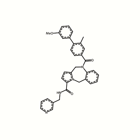 COc1cccc(-c2ccc(C(=O)N3Cc4ccc(C(=O)NCc5cccnc5)n4Cc4ccccc43)cc2C)c1